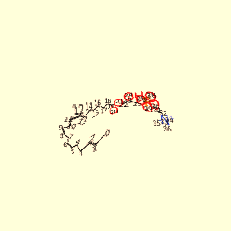 CCCCC/C=C\C/C=C\C/C=C\CCCCCCC(=O)OC[C@@H](O)COP(=O)([O-])OCC[N+](C)(C)C